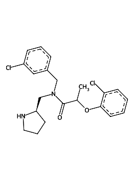 CC(Oc1ccccc1Cl)C(=O)N(Cc1cccc(Cl)c1)C[C@H]1CCCN1